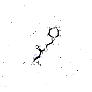 C/C=C/C(=O)OCCN1CCSCC1